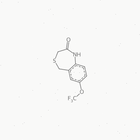 O=C1CSCc2cc(OC(F)(F)F)ccc2N1